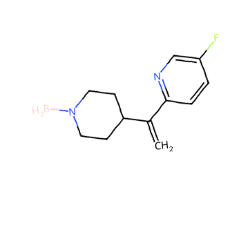 BN1CCC(C(=C)c2ccc(F)cn2)CC1